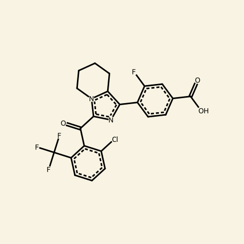 O=C(O)c1ccc(-c2nc(C(=O)c3c(Cl)cccc3C(F)(F)F)n3c2CCCC3)c(F)c1